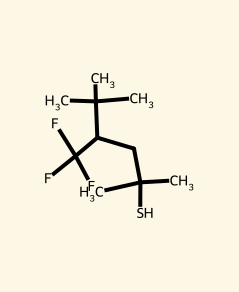 CC(C)(S)CC(C(C)(C)C)C(F)(F)F